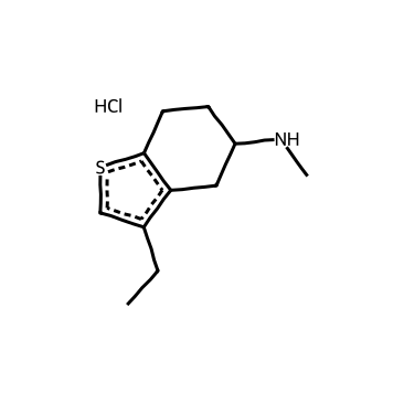 CCc1csc2c1CC(NC)CC2.Cl